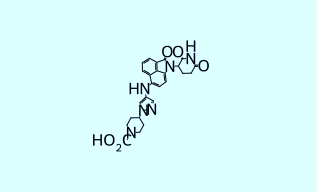 O=C1CCC(N2C(=O)c3cccc4c(Nc5cnn(C6CCN(C(=O)O)CC6)c5)ccc2c34)C(=O)N1